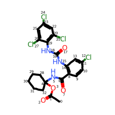 CC(=O)OC1(NC(=O)c2ccc(Cl)cc2NC(=O)Nc2c(Cl)cc(Cl)cc2Cl)CCCCC1